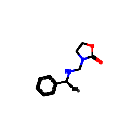 C[C@H](NCN1CCOC1=O)c1ccccc1